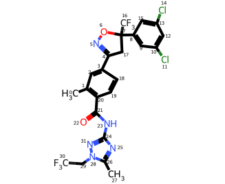 Cc1cc(C2=NOC(c3cc(Cl)cc(Cl)c3)(C(F)(F)F)C2)ccc1C(=O)Nc1nc(C)n(CC(F)(F)F)n1